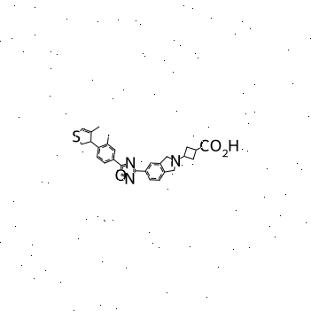 CC1=CSCC1c1ccc(-c2nc(-c3ccc4c(c3)CN(C3CC(C(=O)O)C3)C4)no2)cc1C